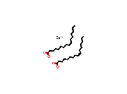 CCCCCC/C=C\CCCCCCCC(=O)[O-].CCCCCC/C=C\CCCCCCCC(=O)[O-].[Co+2]